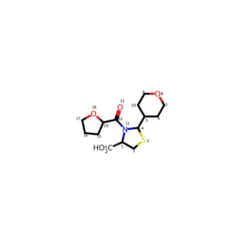 O=C(O)C1CSC(C2CCOCC2)N1C(=O)C1CCCO1